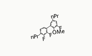 CCCc1cc(F)c(OC)c(-c2ccc(CCC)c(F)c2F)c1